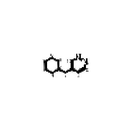 c1cc(CC2CCCCC2)cnn1